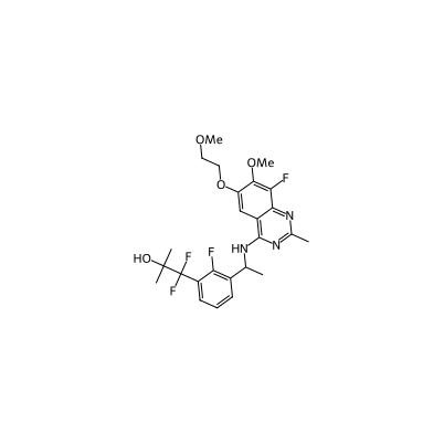 COCCOc1cc2c(NC(C)c3cccc(C(F)(F)C(C)(C)O)c3F)nc(C)nc2c(F)c1OC